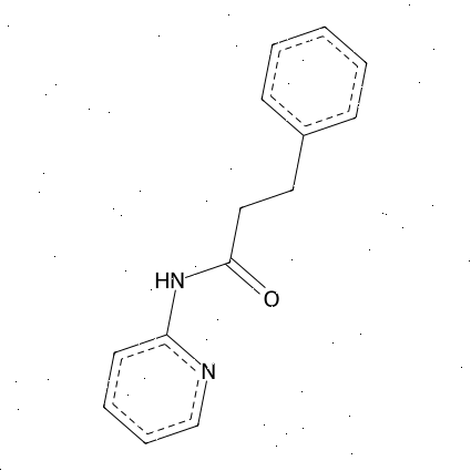 O=C(CCc1ccccc1)Nc1ccccn1